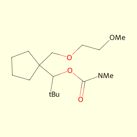 CNC(=O)OC(C(C)(C)C)C1(COCCOC)CCCC1